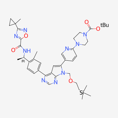 Cc1cc(-c2ncnc3c2cc(-c2ccc(N4CCN(C(=O)OC(C)(C)C)CC4)nc2)n3COCC[Si](C)(C)C)ccc1[C@@H](C)NC(=O)c1nc(C2(C)CC2)no1